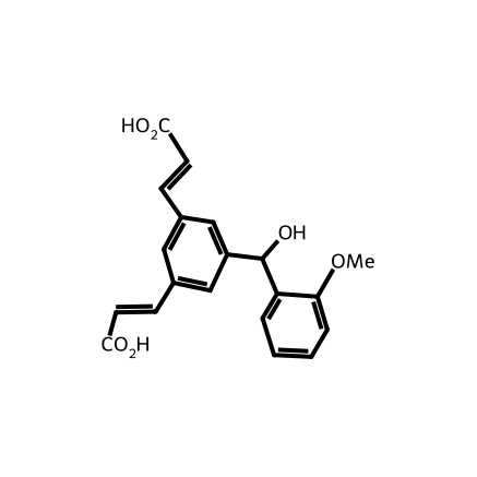 COc1ccccc1C(O)c1cc(C=CC(=O)O)cc(C=CC(=O)O)c1